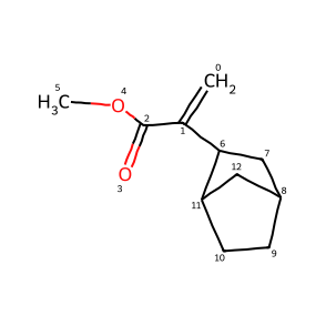 C=C(C(=O)OC)C1CC2CCC1C2